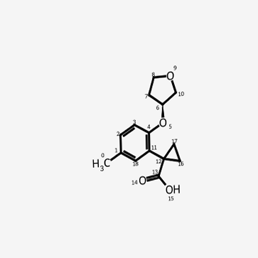 Cc1ccc(O[C@H]2CCOC2)c(C2(C(=O)O)CC2)c1